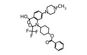 CN1CCN(c2ccc(C(=O)O)c(N(C(=O)C(F)(F)F)C3CCC(OC(=O)c4ccccc4)CC3)c2)CC1